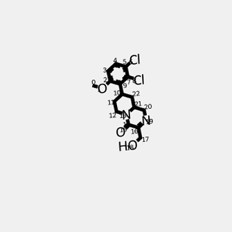 COc1ccc(Cl)c(Cl)c1C1CCN2C(=O)C(CO)=NCC2C1